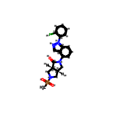 CS(=O)(=O)N1C[C@@H]2CN(c3cccc4c3cnn4-c3ccccc3F)C(=O)[C@@H]2C1